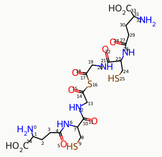 NC(CCC(=O)NC(CS)C(=O)NCC(=O)SC(=O)CNC(=O)C(CS)NC(=O)CCC(N)C(=O)O)C(=O)O